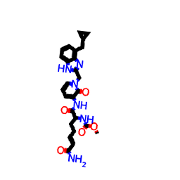 COC(=O)NC(CCC=CC(N)=O)C(=O)Nc1cccn(Cc2nc3c(CC4CC4)cccc3[nH]2)c1=O